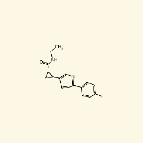 CCNC(=O)[C@H]1C[C@@H]1c1ccc(-c2ccc(F)cc2)nc1